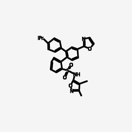 Cc1noc(NS(=O)(=O)c2ccccc2-c2ccc(-c3ncco3)cc2-c2ccc(C(C)C)cc2)c1C